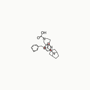 O=C(O)N1CCc2nc(N3C4CCC3CN(C(=O)OCc3ccccc3)C4)ccc2C1